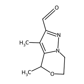 Cc1c(C=O)nn2c1C(C)OCC2